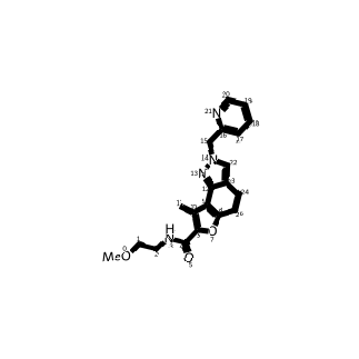 COCCNC(=O)c1oc2c(c1C)-c1nn(Cc3ccccn3)cc1CC2